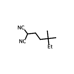 CCC(C)(C)CCC(C#N)C#N